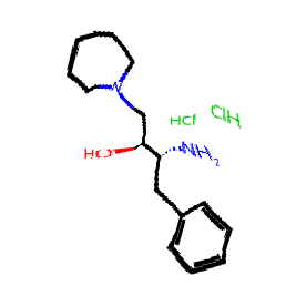 Cl.Cl.N[C@H](Cc1ccccc1)[C@@H](O)CN1CCCCC1